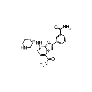 NC(=O)c1cccc(-c2cn3c(C(N)=O)cnc(N[C@H]4CCCNC4)c3n2)c1